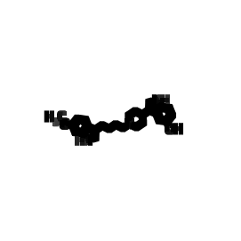 COc1ccc2c(CCCCN3CCC(c4c[nH]c5ccc(O)cc45)CC3)c[nH]c2c1